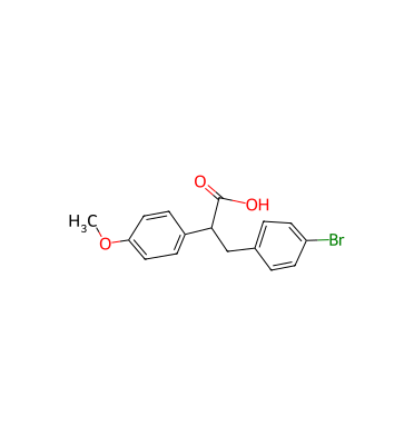 COc1ccc(C(Cc2ccc(Br)cc2)C(=O)O)cc1